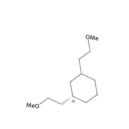 COCCC1CCC[C@H](CCOC)C1